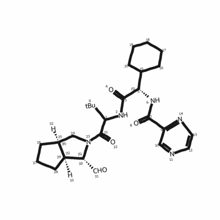 CC(C)(C)C(NC(=O)[C@@H](NC(=O)c1cnccn1)C1CCCCC1)C(=O)N1C[C@@H]2CCC[C@@H]2[C@H]1C=O